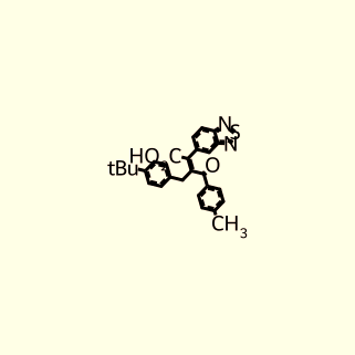 Cc1ccc(C(=O)C(Cc2ccc(C(C)(C)C)cc2)=C(C(=O)O)c2ccc3nsnc3c2)cc1